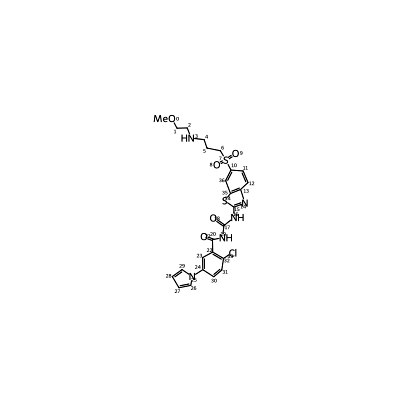 COCCNCCCS(=O)(=O)c1ccc2nc(NC(=O)NC(=O)c3cc(-n4cccc4)ccc3Cl)sc2c1